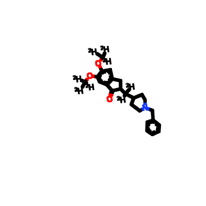 [2H]C([2H])([2H])Oc1cc2c(cc1OC([2H])([2H])[2H])C(=O)C(C([2H])([2H])C1CCN(Cc3ccccc3)CC1)C2